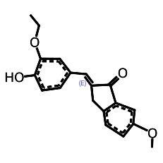 CCOc1cc(/C=C2\Cc3ccc(OC)cc3C2=O)ccc1O